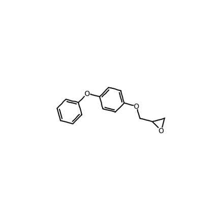 c1ccc(Oc2ccc(OCC3CO3)cc2)cc1